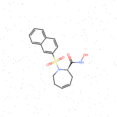 O=C(NO)[C@H]1CC=CCCN1S(=O)(=O)c1ccc2ccccc2c1